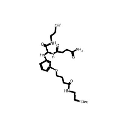 CCCCCCCCCCCCNC(=O)CCCOc1cccc(NC(NC(=O)CCC(N)=O)C(=O)NCCO)c1